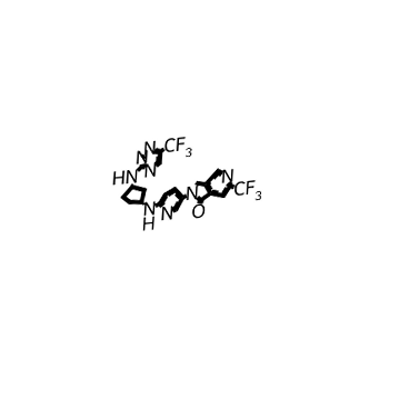 O=C1c2cc(C(F)(F)F)ncc2CN1c1ccc(N[C@H]2CC[C@H](Nc3ncc(C(F)(F)F)nn3)C2)nc1